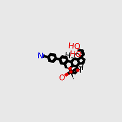 C[C@]12CC3c4ccc(-c5ccc(C#N)cc5)cc4C[C@]45CCC(=O)C=C4CC[C@H](C35)[C@@H]1CC[C@@]2(O)/C=C\CO